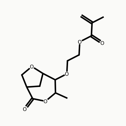 C=C(C)C(=O)OCCOC1C(C)OC(=O)C2COC1C2